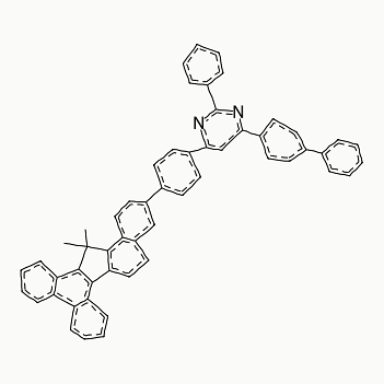 CC1(C)c2c(ccc3cc(-c4ccc(-c5cc(-c6ccc(-c7ccccc7)cc6)nc(-c6ccccc6)n5)cc4)ccc23)-c2c1c1ccccc1c1ccccc21